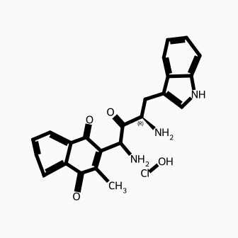 CC1=C(C(N)C(=O)[C@H](N)Cc2c[nH]c3ccccc23)C(=O)c2ccccc2C1=O.OCl